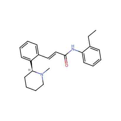 CCc1ccccc1NC(=O)C=Cc1ccccc1[C@@H]1CCCCN1C